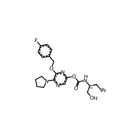 CC(C)C[C@@H](CO)NC(=O)Oc1cnc(N2CCCC2)c(OCc2ccc(F)cc2)n1